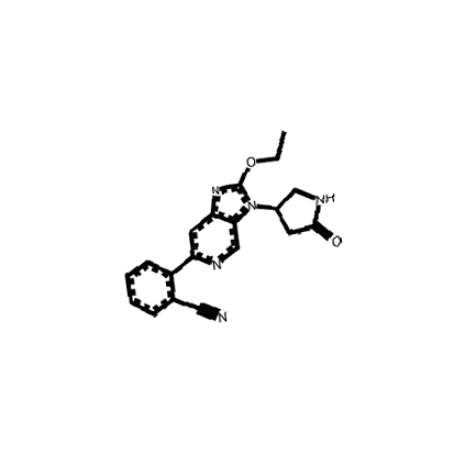 CCOc1nc2cc(-c3ccccc3C#N)ncc2n1C1CNC(=O)C1